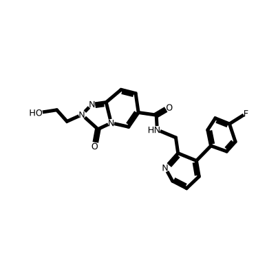 O=C(NCc1ncccc1-c1ccc(F)cc1)c1ccc2nn(CCO)c(=O)n2c1